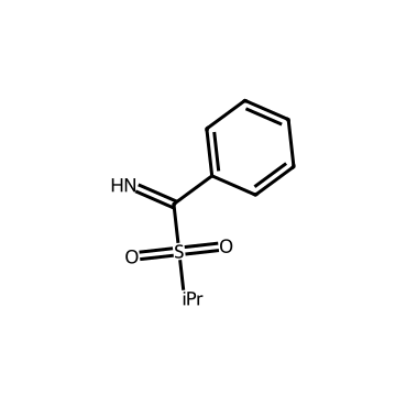 CC(C)S(=O)(=O)C(=N)c1ccccc1